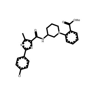 COC(=O)c1ccccc1N1CCCC(NC(=O)c2sc(-c3ccc(Cl)cc3)nc2C)C1